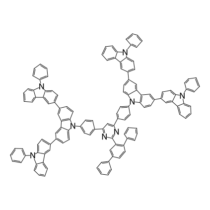 c1ccc(-c2ccc(-c3ccccc3)c(-c3nc(-c4ccc(-n5c6ccc(-c7ccc8c(c7)c7ccccc7n8-c7ccccc7)cc6c6cc(-c7ccc8c(c7)c7ccccc7n8-c7ccccc7)ccc65)cc4)cc(-c4ccc(-n5c6ccc(-c7ccc8c(c7)c7ccccc7n8-c7ccccc7)cc6c6cc(-c7ccc8c(c7)c7ccccc7n8-c7ccccc7)ccc65)cc4)n3)c2)cc1